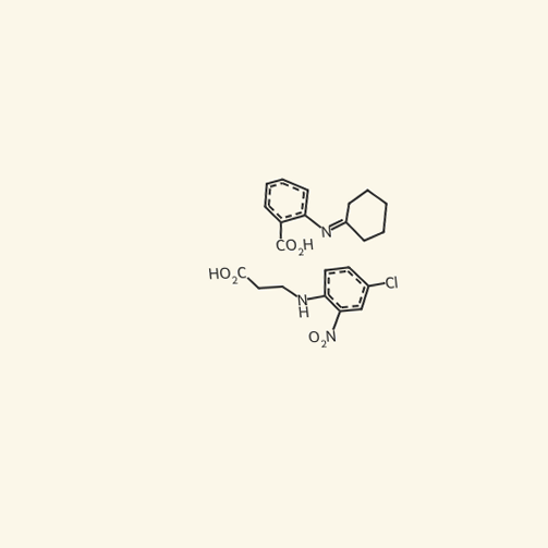 O=C(O)CCNc1ccc(Cl)cc1[N+](=O)[O-].O=C(O)c1ccccc1N=C1CCCCC1